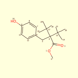 COC(=O)C(Cc1ccc(O)cc1)(C(C)(C)C)C(C)(C)C